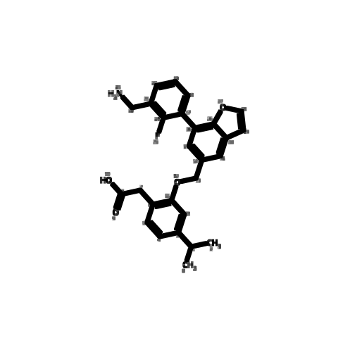 CC(C)c1ccc(CC(=O)O)c(OCc2cc(-c3cccc(CN)c3F)c3occc3c2)c1